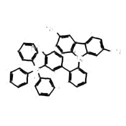 N#Cc1ccc2c(c1)c1ccc(C#N)cc1n2-c1ccccc1-c1ccc(C#N)c([Si](c2ccccc2)(c2ccccc2)c2ccccc2)c1